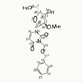 CO[C@@H]1[C@H](O)[C@@H](CO)O[C@H]1n1ccc(=O)n(COCc2ccccc2)c1=O